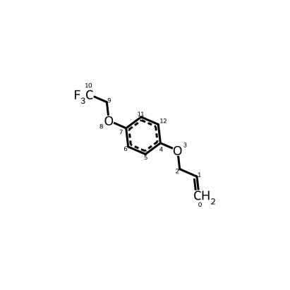 C=CCOc1ccc(OCC(F)(F)F)cc1